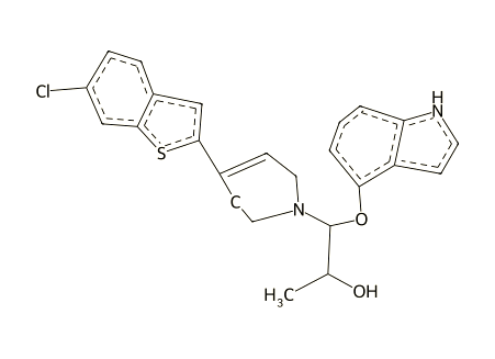 CC(O)C(Oc1cccc2[nH]ccc12)N1CC=C(c2cc3ccc(Cl)cc3s2)CC1